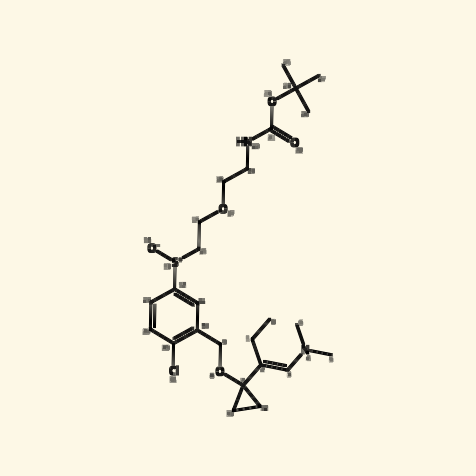 CC/C(=C\N(C)C)C1(OCc2cc([S+]([O-])CCOCCNC(=O)OC(C)(C)C)ccc2Cl)CC1